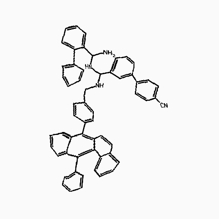 N#Cc1ccc(-c2cccc(C(NCc3ccc(-c4c5ccccc5c(-c5ccccc5)c5c4ccc4ccccc45)cc3)NC(N)c3ccccc3-c3ccccc3)c2)cc1